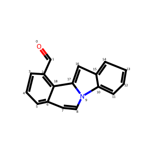 O=Cc1cccc2ccn3c4ccccc4cc3c12